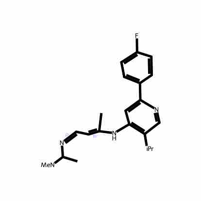 CNC(C)/N=C\C=C(/C)Nc1cc(-c2ccc(F)cc2)ncc1C(C)C